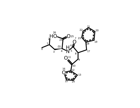 CC(C)C[C@H](NC(=O)C(CC(=O)c1ccco1)Cc1ccccc1)C(=O)O